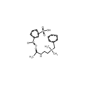 CC(=O)NCC[N+](C)(C)Cc1ccccc1.O=[N+]([O-])c1cccc(S(=O)(=O)O)c1